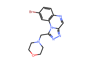 Brc1ccc2ncc3nnc(CN4CCOCC4)n3c2c1